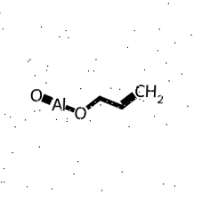 C=CC[O][Al]=[O]